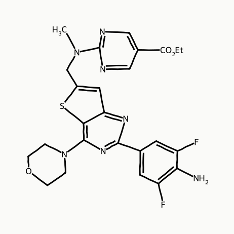 CCOC(=O)c1cnc(N(C)Cc2cc3nc(-c4cc(F)c(N)c(F)c4)nc(N4CCOCC4)c3s2)nc1